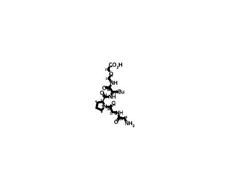 CCC(C)C(NC(=O)[C@@H]1CCCN1C(=O)CNC(=O)CN)C(=O)NCOCC(=O)O